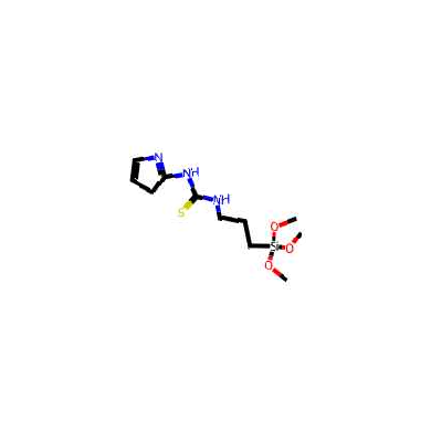 CO[Si](CCCNC(=S)NC1=NC=CC1)(OC)OC